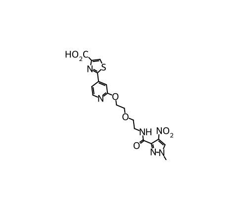 Cn1cc([N+](=O)[O-])c(C(=O)NCCOCCOc2cc(-c3nc(C(=O)O)cs3)ccn2)n1